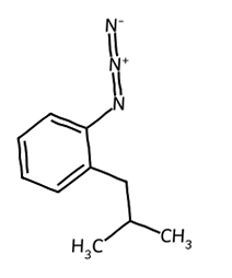 CC(C)Cc1ccccc1N=[N+]=[N-]